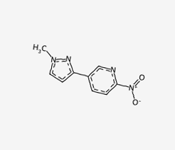 Cn1ccc(-c2ccc([N+](=O)[O-])nc2)n1